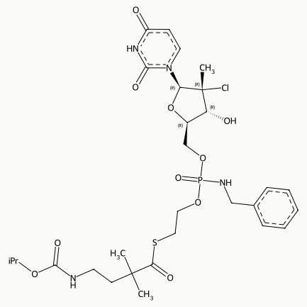 CC(C)OC(=O)NCCC(C)(C)C(=O)SCCOP(=O)(NCc1ccccc1)OC[C@H]1O[C@@H](n2ccc(=O)[nH]c2=O)[C@](C)(Cl)[C@@H]1O